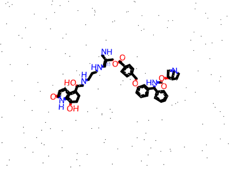 N=C/C(=C\NCCCNCC(O)C1=c2ccc(=O)[nH]c2=C(O)CC1)COC(=O)c1ccc(COc2cccc(C(NC(=O)OC3CN4CCC3CC4)c3ccccc3)c2)cc1